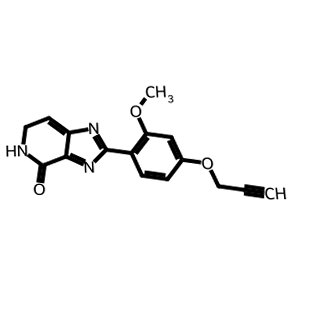 C#CCOc1ccc(C2=NC3=CCNC(=O)C3=N2)c(OC)c1